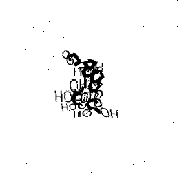 CC1O[C@@H](OC2[C@@H](O)C(CO)O[C@@H](O[C@@H]3C=C4CC[C@@H]5[C@H](CC[C@]6(C)[C@@H](c7ccc(=O)oc7)CC[C@]56O)[C@@]4(C)CC3)[C@H]2O)[C@@H](O)C(O)[C@H]1O